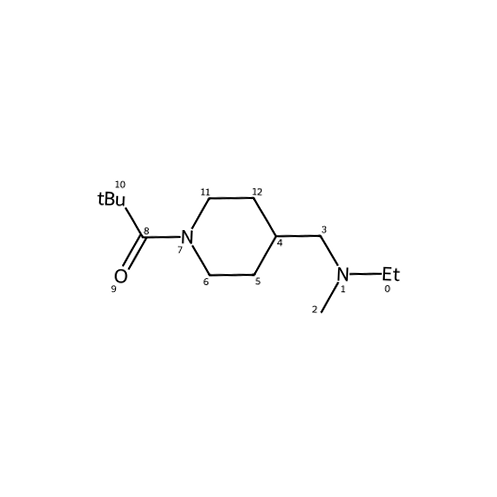 CCN(C)CC1CCN(C(=O)C(C)(C)C)CC1